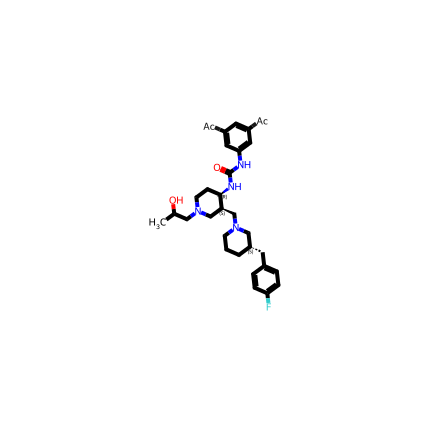 CC(=O)c1cc(NC(=O)N[C@@H]2CCN(CC(C)O)C[C@@H]2CN2CCC[C@@H](Cc3ccc(F)cc3)C2)cc(C(C)=O)c1